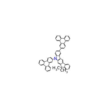 CC1(C)c2ccccc2-c2cc3c4cc(-c5ccc6c7ccccc7c7ccccc7c6c5)ccc4n(-c4ccc5c6ccccc6c6ccccc6c5c4)c3cc21